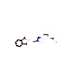 CC(C)(C)OC(=O)N[C@@H](Cn1cc(CON2C(=O)c3ccccc3C2=O)nn1)C(=O)O